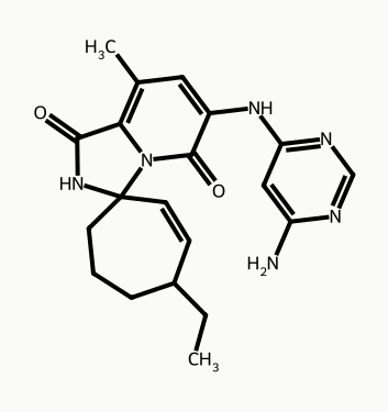 CCC1C=CC2(CCC1)NC(=O)c1c(C)cc(Nc3cc(N)ncn3)c(=O)n12